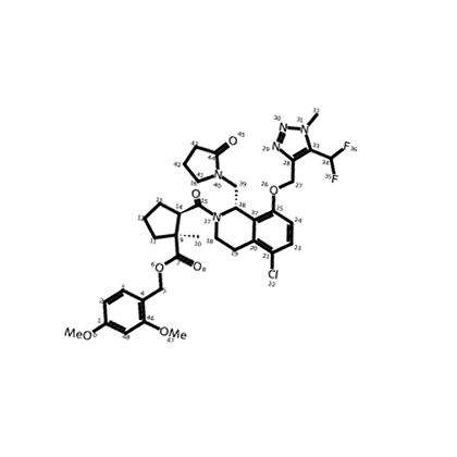 COc1ccc(COC(=O)[C@@]2(C)CCC[C@H]2C(=O)N2CCc3c(Cl)ccc(OCc4nnn(C)c4C(F)F)c3[C@H]2CN2CCCC2=O)c(OC)c1